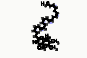 CC/C=C\C/C=C\C/C=C\C/C=C\C/C=C\C/C=C\CCC(=O)N[C@@H](C)C(=O)O[C@H](C)[C@@H](C)N